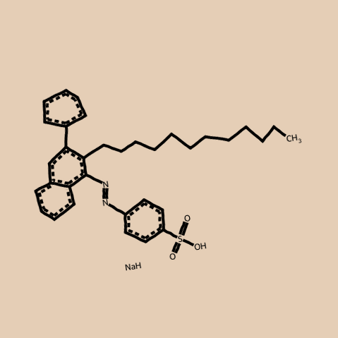 CCCCCCCCCCCCc1c(-c2ccccc2)cc2ccccc2c1N=Nc1ccc(S(=O)(=O)O)cc1.[NaH]